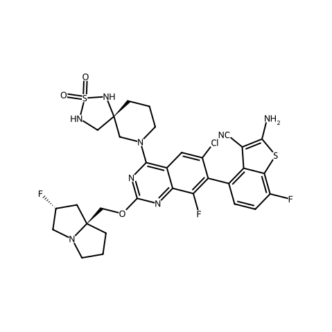 N#Cc1c(N)sc2c(F)ccc(-c3c(Cl)cc4c(N5CCC[C@]6(CNS(=O)(=O)N6)C5)nc(OC[C@@]56CCCN5C[C@H](F)C6)nc4c3F)c12